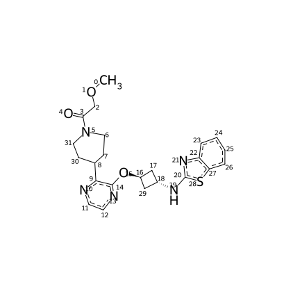 COCC(=O)N1CCC(c2nccnc2O[C@H]2C[C@H](Nc3nc4ccccc4s3)C2)CC1